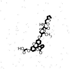 CC1=C(COc2ccc3c(c2)Oc2cc(OCC(=O)O)ccc2C32OC(=O)c3ccccc32)CSC2C(NC(=O)Cc3cccs3)C(=O)N12